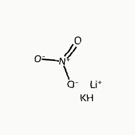 O=[N+]([O-])[O-].[KH].[Li+]